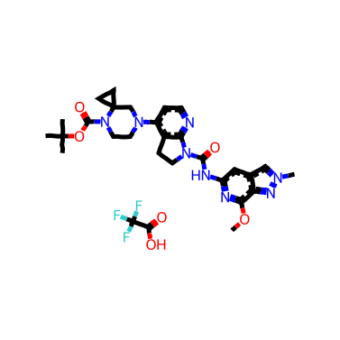 COc1nc(NC(=O)N2CCc3c(N4CCN(C(=O)OC(C)(C)C)C5(CC5)C4)ccnc32)cc2cn(C)nc12.O=C(O)C(F)(F)F